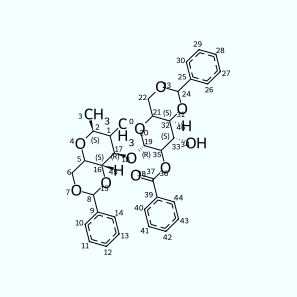 CC1[C@H](C)OC2COC(c3ccccc3)O[C@H]2[C@@H]1O[C@@H]1OC2COC(c3ccccc3)O[C@H]2[C@H](O)C1OC(=O)c1ccccc1